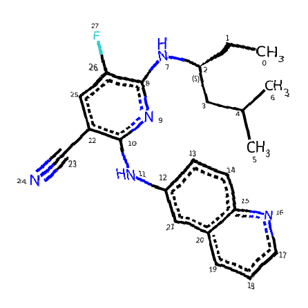 CC[C@@H](CC(C)C)Nc1nc(Nc2ccc3ncccc3c2)c(C#N)cc1F